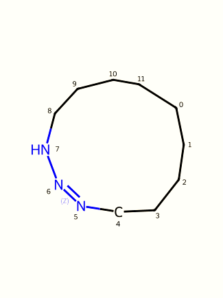 C1CCCC/N=N\NCCCC1